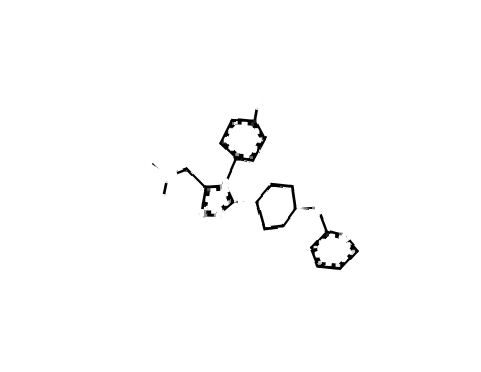 C[S@+]([O-])Cc1nnc([C@H]2CC[C@H](Oc3ccccn3)CC2)n1-c1ccc(Cl)cc1